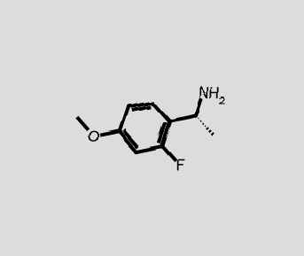 COc1ccc([C@@H](C)N)c(F)c1